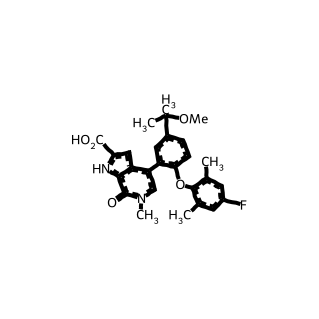 COC(C)(C)c1ccc(Oc2c(C)cc(F)cc2C)c(-c2cn(C)c(=O)c3[nH]c(C(=O)O)cc23)c1